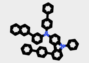 c1ccc(-c2ccc(-c3cccc4c3c3cc(N(c5ccc(-c6ccccc6)cc5)c5cccc(-c6ccc7ccccc7c6)c5)ccc3n4-c3ccccc3)cc2)cc1